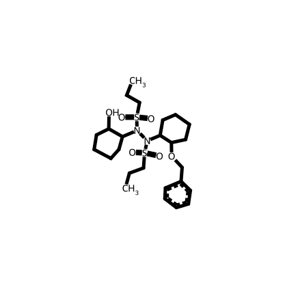 CCCS(=O)(=O)N(C1CCCCC1O)N(C1CCCCC1OCc1ccccc1)S(=O)(=O)CCC